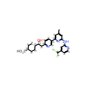 Cc1cc(Nc2cc(C(F)F)ccn2)nc(-c2ccc(C[C@@H](O)[C@H]3CC[C@H](C(=O)O)CC3)nc2)c1